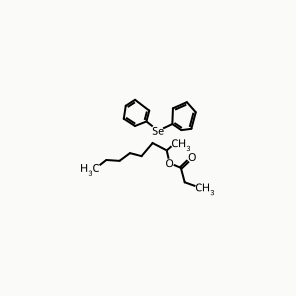 CCCCCCC(C)OC(=O)CC.c1ccc([Se]c2ccccc2)cc1